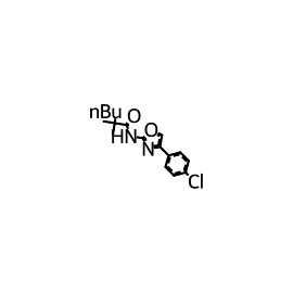 CCCCC(C)(C)C(=O)Nc1nc(-c2ccc(Cl)cc2)co1